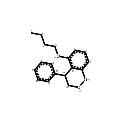 CCCCOc1cccc2c1C(c1ccccc1)[C]OO2